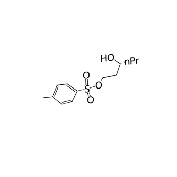 CCC[C@@H](O)CCOS(=O)(=O)c1ccc(C)cc1